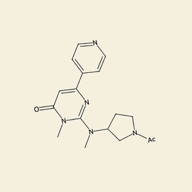 CC(=O)N1CCC(N(C)c2nc(-c3ccncc3)cc(=O)n2C)C1